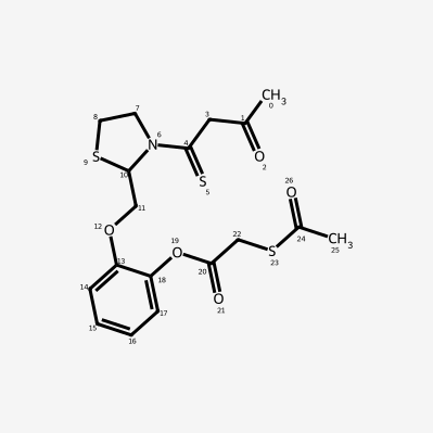 CC(=O)CC(=S)N1CCSC1COc1ccccc1OC(=O)CSC(C)=O